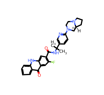 CC(C)(NC(=O)c1cc2[nH]c3ccccc3c(=O)c2cc1F)c1ccc(N2CCN3CCC[C@H]3C2)nc1